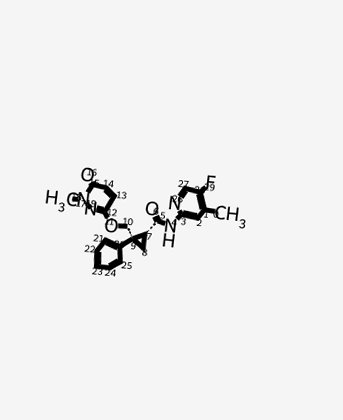 Cc1cc(NC(=O)[C@@H]2C[C@@]2(COc2ccc(=O)n(C)n2)c2ccccc2)ncc1F